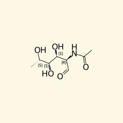 CC(=O)N[C@@H](C=O)[C@H](O)[C@@H](O)[C@H](C)O